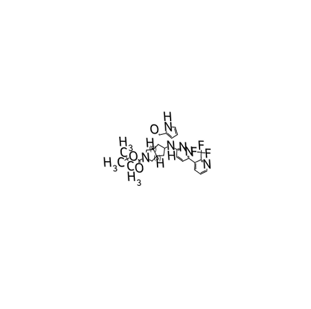 CC(C)(C)OC(=O)N1C[C@H]2CC(Nc3ccc(-c4cccnc4C(F)(F)F)nn3)C[C@H]2C1.O=Cc1ccc[nH]1